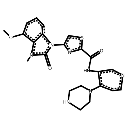 COc1cccc2c1n(C)c(=O)n2-c1csc(C(=O)Nc2cnccc2N2CCNCC2)n1